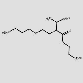 CCCCCCCCCCCCCCCCC(C(=O)OCCCCCCCCCCCC)C(C)CCCCCC